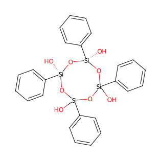 O[Si]1(c2ccccc2)O[Si](O)(c2ccccc2)O[Si@](O)(c2ccccc2)O[Si@](O)(c2ccccc2)O1